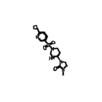 CN1CCN(C2CCN(S(=O)(=O)c3ccc(Cl)nc3)CN2)C1=O